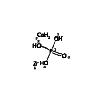 O=P(O)(O)O.[CaH2].[Zr]